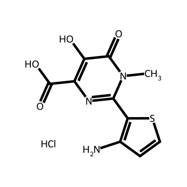 Cl.Cn1c(-c2sccc2N)nc(C(=O)O)c(O)c1=O